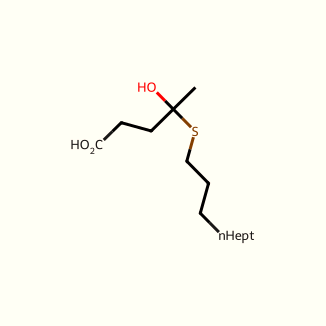 CCCCCCCCCCSC(C)(O)CCC(=O)O